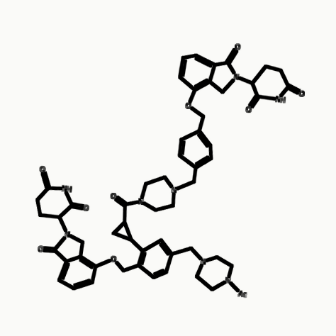 CC(=O)N1CCN(Cc2ccc(COc3cccc4c3CN(C3CCC(=O)NC3=O)C4=O)c(C3CC3C(=O)N3CCN(Cc4ccc(COc5cccc6c5CN(C5CCC(=O)NC5=O)C6=O)cc4)CC3)c2)CC1